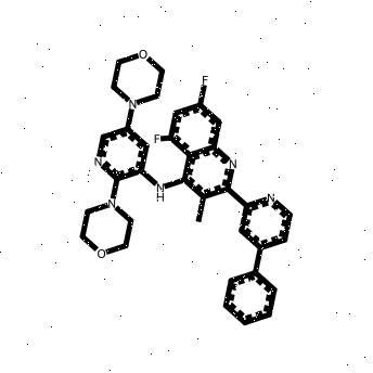 Cc1c(-c2cc(-c3ccccc3)ccn2)nc2cc(F)cc(F)c2c1Nc1cc(N2CCOCC2)cnc1N1CCOCC1